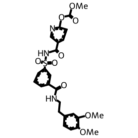 COC(=O)Oc1ccc(C(=O)NS(=O)(=O)c2cccc(C(=O)NCCc3ccc(OC)c(OC)c3)c2)cn1